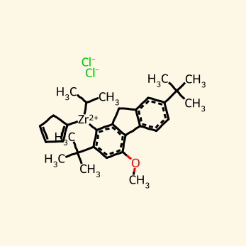 COc1cc(C(C)(C)C)[c]([Zr+2]([C]2=CC=CC2)[CH](C)C)c2c1-c1ccc(C(C)(C)C)cc1C2.[Cl-].[Cl-]